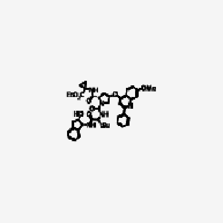 CCOC(=O)C1(NC(=O)[C@@H]2C[C@@H](Oc3cc(-c4ccccc4)nc4cc(OC)ccc34)CN2C(=O)N[C@H](C(=O)N[C@H]2c3ccccc3C[C@H]2O)C(C)(C)C)CC1